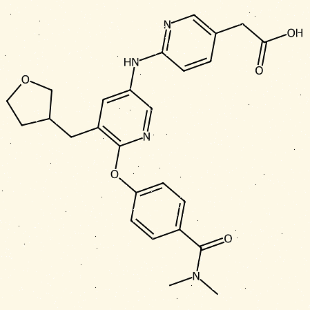 CN(C)C(=O)c1ccc(Oc2ncc(Nc3ccc(CC(=O)O)cn3)cc2CC2CCOC2)cc1